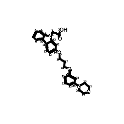 O=C(O)Cn1c2ccccc2c2ccc(OCCCOc3cccc(N4CCOCC4)c3)cc21